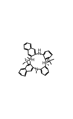 CN1c2ccccc2[PH](C)([Si](C)(C)C)c2ccccc2Nc2cc3ccccc3cc2[PH](C)([Si](C)(C)C)c2cc3ccccc3cc21